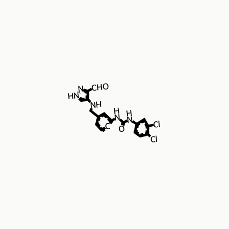 O=Cc1n[nH]cc1NCc1cccc(NC(=O)Nc2ccc(Cl)c(Cl)c2)c1